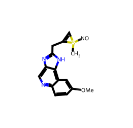 COc1ccc2ncc3nc(CC4=CS4(C)N=O)[nH]c3c2c1